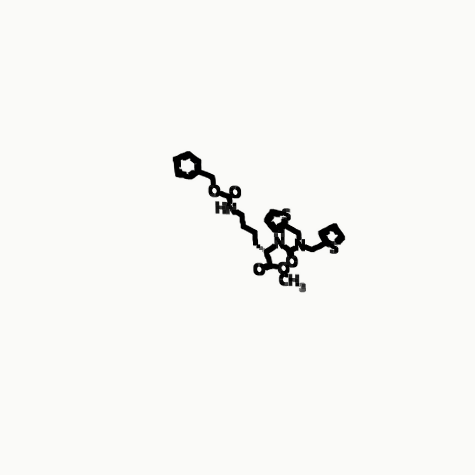 COC(=O)[C@H](CCCCNC(=O)OCc1ccccc1)NC(=O)N(Cc1cccs1)Cc1cccs1